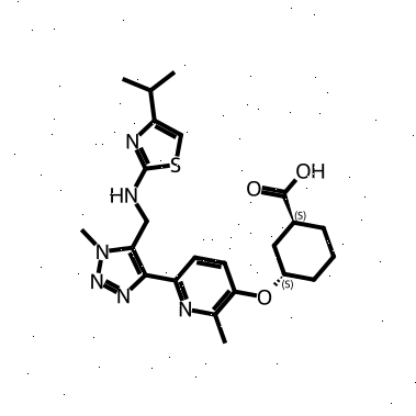 Cc1nc(-c2nnn(C)c2CNc2nc(C(C)C)cs2)ccc1O[C@H]1CCC[C@H](C(=O)O)C1